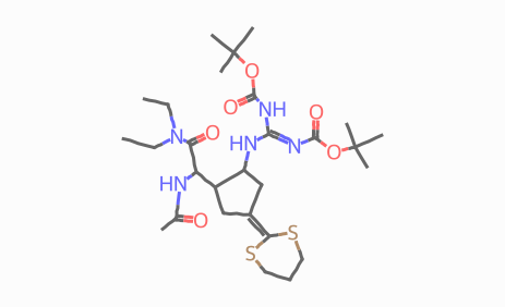 CCN(CC)C(=O)C(NC(C)=O)C1CC(=C2SCCCS2)CC1NC(=NC(=O)OC(C)(C)C)NC(=O)OC(C)(C)C